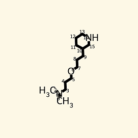 CN(C)CCCOCCCC1CCCNC1